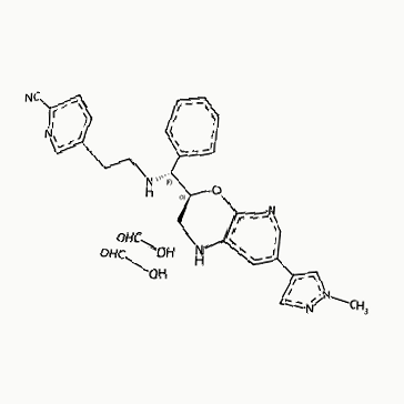 Cn1cc(-c2cnc3c(c2)NC[C@@H]([C@H](NCCc2ccc(C#N)nc2)c2ccccc2)O3)cn1.O=CO.O=CO